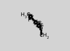 C=CCCCOc1ccc(C2CCC(C#Cc3ccc(C)cc3F)CC2)c(F)c1F